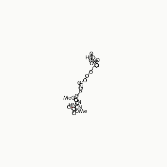 COc1cc(Nc2c(C#N)cnc3cc(OCCCN4CCN(C(=O)CCOCCOCCOCCCc5cccc6c5C(=O)N(C5CCC(=O)NC5=O)C6=O)CC4)c(OC)cc23)c(Cl)cc1Cl